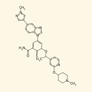 CC(OC1C=C(n2cnc3cc(-c4cnn(C)c4)ccc32)C=C(C(N)=O)C1=S)c1ccnc(OC2CCN(C)CC2)c1